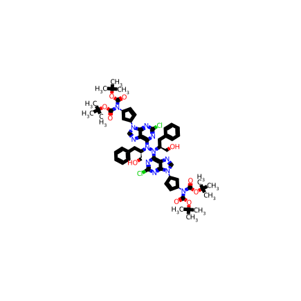 CC(C)(C)OC(=O)N(C(=O)OC(C)(C)C)[C@@H]1C=C[C@H](n2cnc3c(N([C@H](CO)Cc4ccccc4)N(c4nc(Cl)nc5c4ncn5[C@H]4C=C[C@@H](N(C(=O)OC(C)(C)C)C(=O)OC(C)(C)C)C4)[C@H](CO)Cc4ccccc4)nc(Cl)nc32)C1